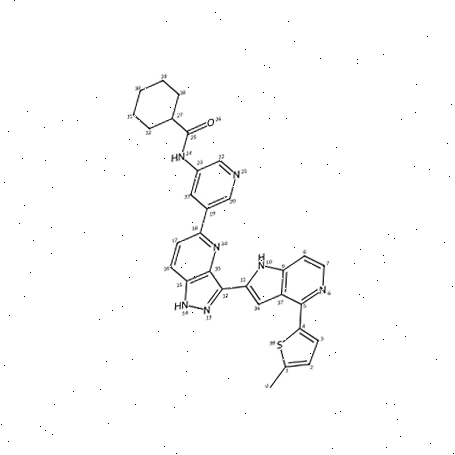 Cc1ccc(-c2nccc3[nH]c(-c4n[nH]c5ccc(-c6cncc(NC(=O)C7CCCCC7)c6)nc45)cc23)s1